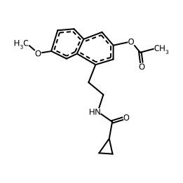 COc1ccc2cc(OC(C)=O)cc(CCNC(=O)C3CC3)c2c1